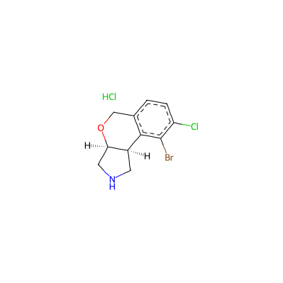 Cl.Clc1ccc2c(c1Br)[C@H]1CNC[C@H]1OC2